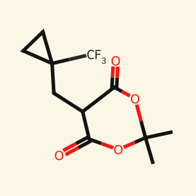 CC1(C)OC(=O)C(CC2(C(F)(F)F)CC2)C(=O)O1